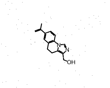 C=C(C)c1ccc2c(c1)CCc1c(CO)ncn1-2